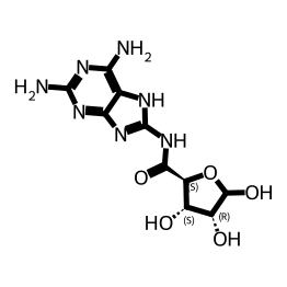 Nc1nc(N)c2[nH]c(NC(=O)[C@H]3OC(O)[C@H](O)[C@@H]3O)nc2n1